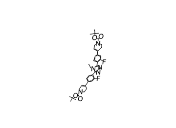 CCn1c(-c2ccc(C3=CCN(C(=O)OC(C)(C)C)CC3)cc2F)nnc1-c1ccc(C2=CCN(C(=O)OC(C)(C)C)CC2)cc1F